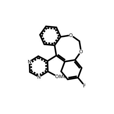 COc1ncncc1/C1=C2\CC=C(F)C=C2OCOc2ccccc21